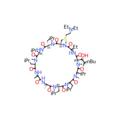 CCCC[C@@H](C)[C@@H](O)[C@@H]1C(=O)N[C@H](CC)C(=O)N(C)[C@H](CSCCN(CC)CC)C(=O)N(C)[C@@H](CC(C)C)C(=O)N[C@H](C(C)C)C(=O)N(C)C(CC(C)C)C(=O)N[C@H](C)C(=O)N[C@@H](C)C(=O)N(C)[C@H](CC(C)C)C(=O)N(C)[C@H](CC(C)C)C(=O)N(C)[C@H](C(C)C)C(=O)N1C